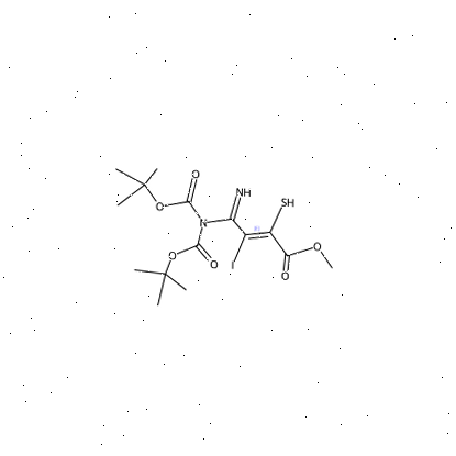 COC(=O)/C(S)=C(\I)C(=N)N(C(=O)OC(C)(C)C)C(=O)OC(C)(C)C